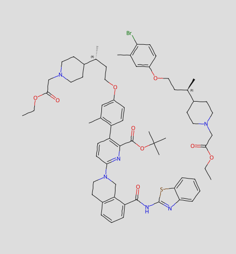 CCOC(=O)CN1CCC([C@H](C)CCOc2ccc(-c3ccc(N4CCc5cccc(C(=O)Nc6nc7ccccc7s6)c5C4)nc3C(=O)OC(C)(C)C)c(C)c2)CC1.CCOC(=O)CN1CCC([C@H](C)CCOc2ccc(Br)c(C)c2)CC1